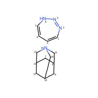 C1=CN=NNC=C1.C1C2CC3CC1CN(C2)C3